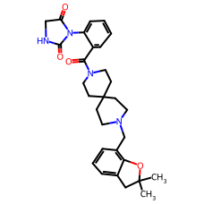 CC1(C)Cc2cccc(CN3CCC4(CC3)CCN(C(=O)c3ccccc3N3C(=O)CNC3=O)CC4)c2O1